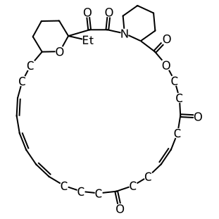 CCC12CCCC(CCC=CC=CC=CCCCC(=O)CCC=CCC(=O)CCOC(=O)C3CCCCN3C(=O)C1=O)O2